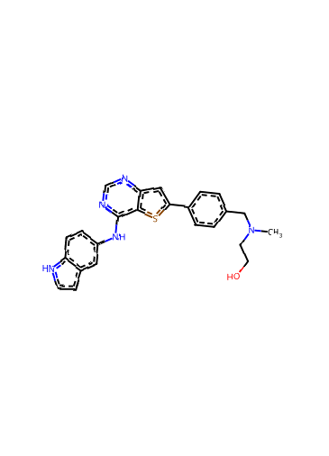 CN(CCO)Cc1ccc(-c2cc3ncnc(Nc4ccc5[nH]ccc5c4)c3s2)cc1